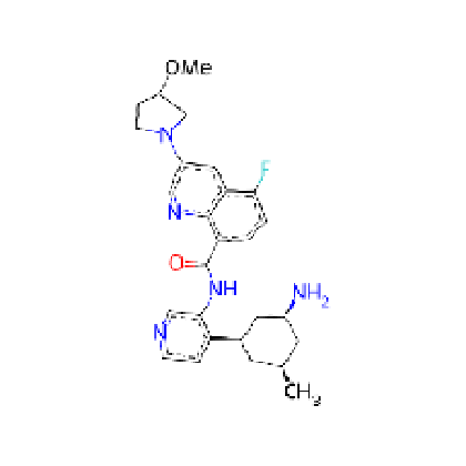 COC1CCN(c2cnc3c(C(=O)Nc4cnccc4[C@@H]4C[C@H](C)C[C@H](N)C4)ccc(F)c3c2)C1